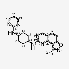 CC(C)c1noc2ccc3cnc(NC4CCC(Nc5ncccn5)CC4)nc3c12